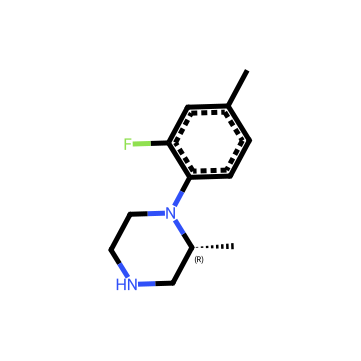 Cc1ccc(N2CCNC[C@H]2C)c(F)c1